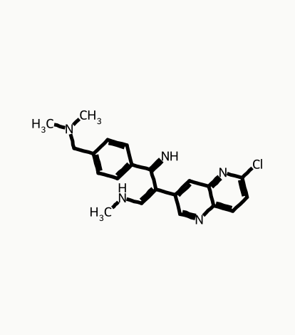 CN/C=C(\C(=N)c1ccc(CN(C)C)cc1)c1cnc2ccc(Cl)nc2c1